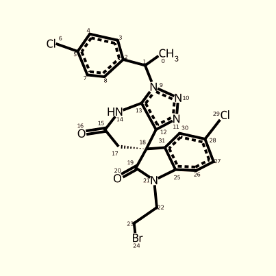 CC(c1ccc(Cl)cc1)n1nnc2c1NC(=O)C[C@]21C(=O)N(CCBr)c2ccc(Cl)cc21